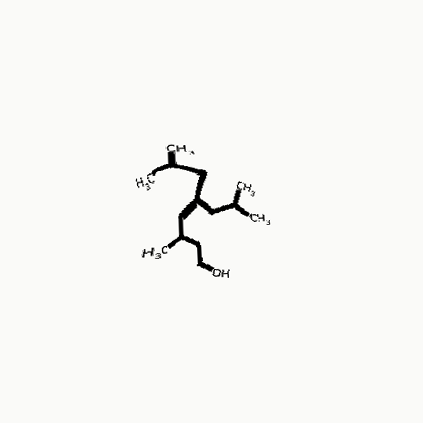 CC(C)CC(=CC(C)CCO)CC(C)C